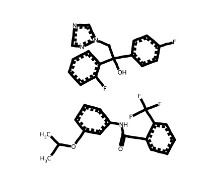 CC(C)Oc1cccc(NC(=O)c2ccccc2C(F)(F)F)c1.OC(Cn1cncn1)(c1ccc(F)cc1)c1ccccc1F